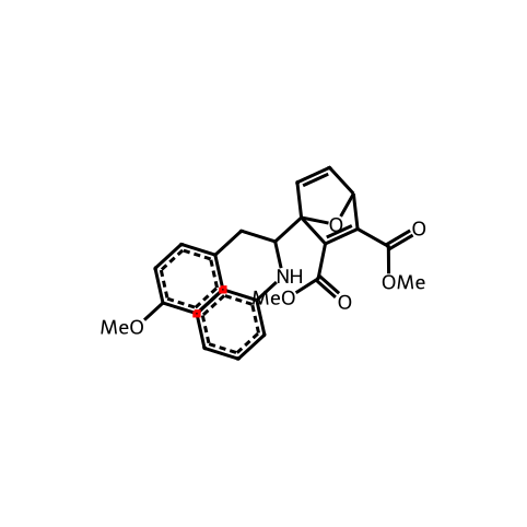 COC(=O)C1=C(C(=O)OC)C2(C(Cc3ccc(OC)cc3)Nc3ccccc3)C=CC1O2